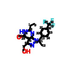 CCc1nc2c(c(CO)nn2C(C)c2ccc(C(F)(F)F)cc2)c(=O)[nH]1